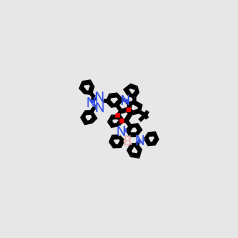 CC(C)(C)c1ccc2c(c1)c1ccccc1n2-c1ccc(-c2nc(-c3ccccc3)nc(-c3ccccc3)n2)cc1-c1ccc(-c2ccc3c4c2N(c2ccccc2)c2ccccc2B4c2ccccc2N3c2ccccc2)cc1